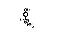 NC1=NC(c2ccc(O)cc2)NS1